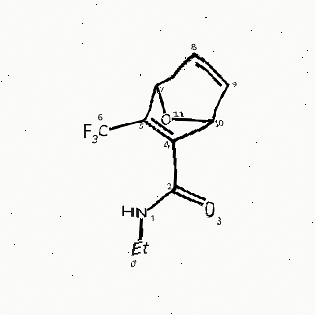 CCNC(=O)C1=C(C(F)(F)F)C2C=CC1O2